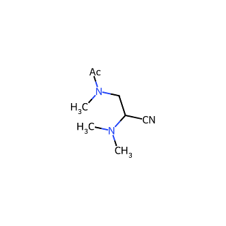 CC(=O)N(C)CC(C#N)N(C)C